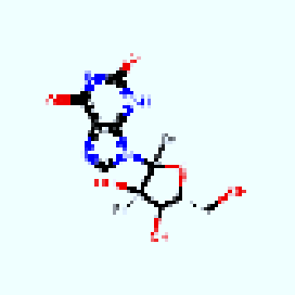 CC[C@@]1(O)[C@H](O)[C@@H](CO)O[C@@]1(CC)n1cnc2c(=O)[nH]c(=O)[nH]c21